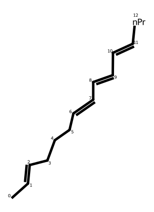 CC=CCCCC=CC=CC=CCCC